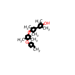 C=Cc1ccc(Oc2c(C)cc(Oc3c(C)cc(-c4cc(C)c(O)c(C)c4)cc3C)cc2C)cc1